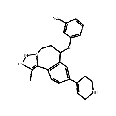 CC1=C2c3ccc(C4=CCNCC4)cc3C(Nc3cccc(C#N)c3)CCN2NN1